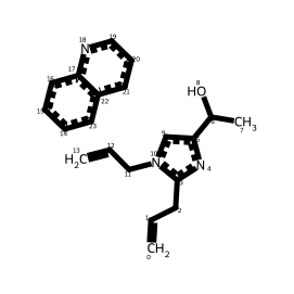 C=CCc1nc(C(C)O)cn1CC=C.c1ccc2ncccc2c1